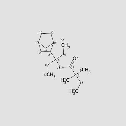 CCC(C)(C)C(=O)OC(CC)(CC)C1CC2CCC1C2